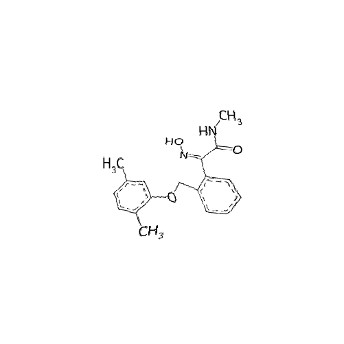 CNC(=O)C(=NO)c1ccccc1COc1cc(C)ccc1C